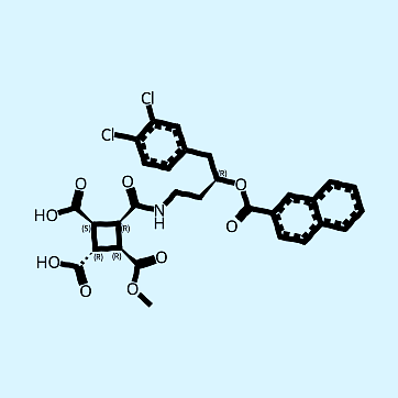 COC(=O)[C@H]1[C@H](C(=O)O)[C@@H](C(=O)O)[C@H]1C(=O)NCC[C@@H](Cc1ccc(Cl)c(Cl)c1)OC(=O)c1ccc2ccccc2c1